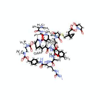 CC[C@H](C)C(C(CC(=O)N1C[C@@H](OC(=O)N(C)CCN(C)C(=O)OCc2ccc(NC(=O)[C@H](CCCNC(N)=O)NC(=O)C(NC(=O)CCCCCN3C(=O)CC(SCC4(CC(=O)ON5C(=O)CCC5=O)CC4)C3=O)C(C)C)cc2)CC1C(OC)C(C)C(=O)NCC(=O)c1ccc(C)cc1C)OC)N(C)C(=O)[C@@H](NC(=O)C(C(C)C)N(C)C)C(C)C